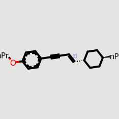 CCCOc1ccc(C#C/C=C/[C@H]2CC[C@H](CCC)CC2)cc1